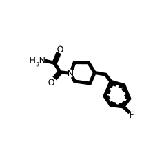 NC(=O)C(=O)N1CCC(Cc2ccc(F)cc2)CC1